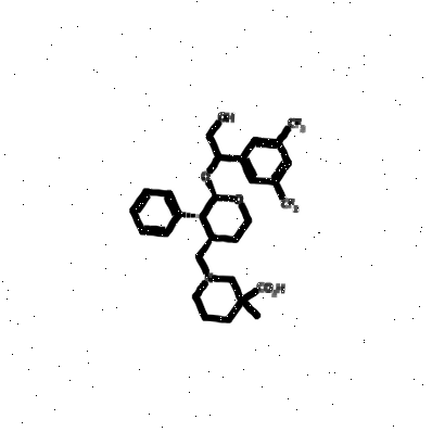 CC1(C(=O)O)CCCN(C[C@@H]2CCO[C@H](OC(CO)c3cc(C(F)(F)F)cc(C(F)(F)F)c3)[C@H]2c2ccccc2)C1